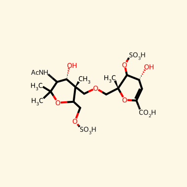 CC(=O)NC1[C@H](O)[C@](C)(COC[C@@]2(C)OC(C(=O)O)=C[C@@H](O)C2OS(=O)(=O)O)C(COS(=O)(=O)O)OC1(C)C